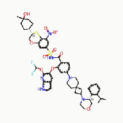 CC(C)c1ccccc1[C@@H]1COCCN1C1CC2(CCN(c3ccc(C(=O)NS(=O)(=O)c4cc5c(c([N+](=O)[O-])c4)S[C@@H](C4CCC(C)(O)CC4)CO5)c(Oc4cc5cc[nH]c5nc4OC(F)F)c3)CC2)C1